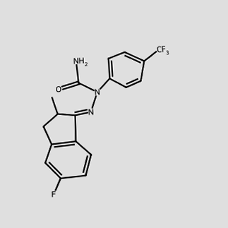 CC1Cc2cc(F)ccc2/C1=N/N(C(N)=O)c1ccc(C(F)(F)F)cc1